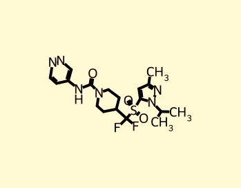 Cc1cc(S(=O)(=O)C(F)(F)C2CCN(C(=O)Nc3ccnnc3)CC2)n(C(C)C)n1